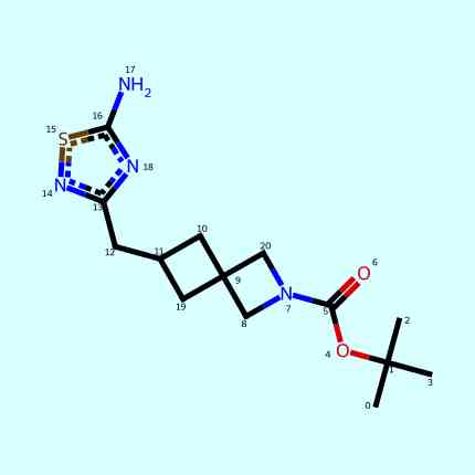 CC(C)(C)OC(=O)N1CC2(CC(Cc3nsc(N)n3)C2)C1